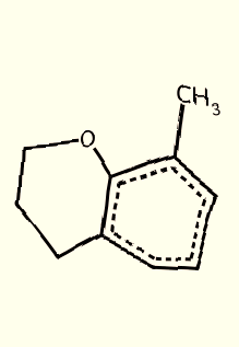 Cc1cccc2c1OCCC2